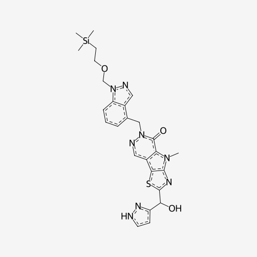 Cn1c2nc(C(O)c3cc[nH]n3)sc2c2cnn(Cc3cccc4c3cnn4COCC[Si](C)(C)C)c(=O)c21